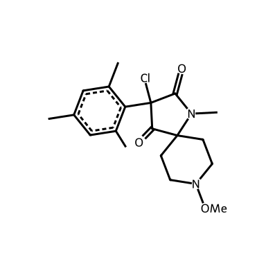 CON1CCC2(CC1)C(=O)C(Cl)(c1c(C)cc(C)cc1C)C(=O)N2C